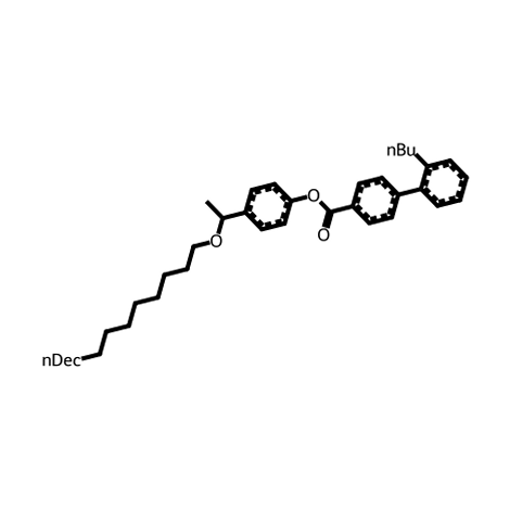 CCCCCCCCCCCCCCCCCCOC(C)c1ccc(OC(=O)c2ccc(-c3ccccc3CCCC)cc2)cc1